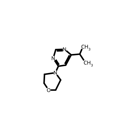 CC(C)c1cc(N2CCOCC2)ncn1